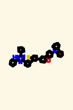 c1ccc(C2=NC(c3cccc4c3sc3ccc(-c5ccc6oc7cc(-n8c9ccccc9c9ccccc98)ccc7c6c5)cc34)=NC(c3ccccc3)N2)cc1